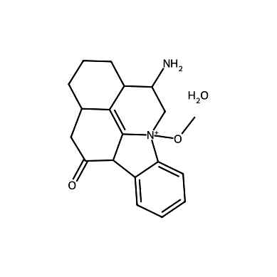 CO[N+]12CC(N)C3CCCC4CC(=O)C(C1=C43)c1ccccc12.O